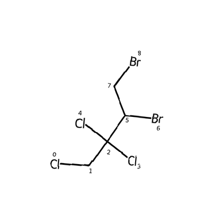 ClCC(Cl)(Cl)C(Br)CBr